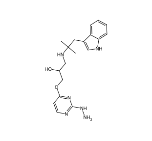 CC(C)(Cc1c[nH]c2ccccc12)NCC(O)COc1ccnc(NN)n1